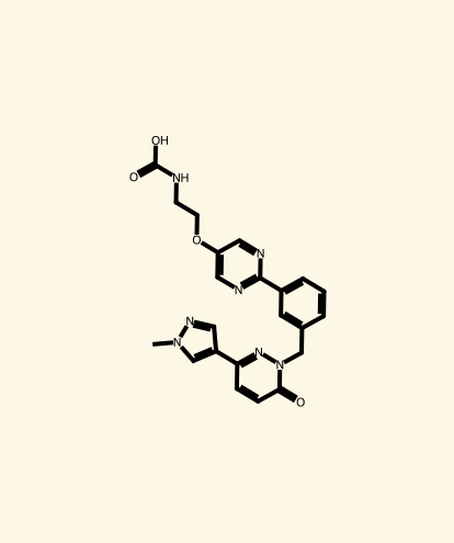 Cn1cc(-c2ccc(=O)n(Cc3cccc(-c4ncc(OCCNC(=O)O)cn4)c3)n2)cn1